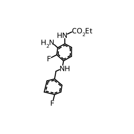 CCOC(=O)Nc1ccc(NCc2ccc(F)cc2)c(F)c1N